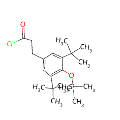 CC(C)(C)c1cc(CCC(=O)Cl)cc(C(C)(C)C)c1O[Si](C)(C)C